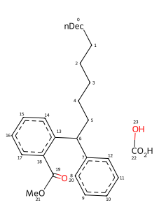 CCCCCCCCCCCCCCCC(c1ccccc1)c1ccccc1C(=O)OC.O=C(O)O